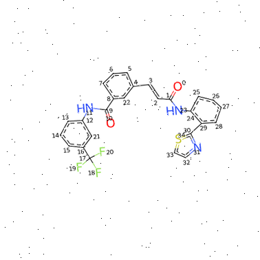 O=C(/C=C/c1cccc(C(=O)Nc2cccc(C(F)(F)F)c2)c1)Nc1ccccc1-c1nccs1